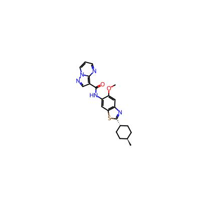 COc1cc2nc([C@H]3CC[C@H](C)CC3)sc2cc1NC(=O)c1cnn2cccnc12